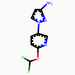 Nc1ccn(-c2ccc(OC(F)F)nc2)n1